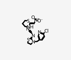 N#C/N=C1\SCCN1Cc1ccc(Cl)nc1.O=[N+]([O-])/C=C1/NCCCS1